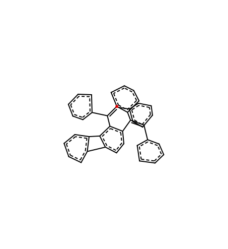 C(=C(\c1ccccc1)c1ccc2c(c1/C(=C\c1ccccc1)c1ccccc1)-c1ccccc1-2)/c1ccccc1